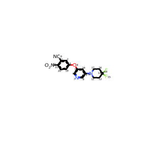 N#Cc1cc(Oc2cncc(N3CCC(F)(F)CC3)c2)ccc1[N+](=O)[O-]